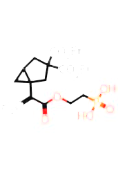 C=C(C(=O)OCCP(=O)(O)O)C12CC1CC(C(=O)OCC)(C(=O)OCC)C2